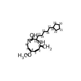 C=C1/C=C\C(OC)=C/C/N=C(/O)C(CCCCCC2CCCC2)N1